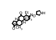 CC[C@H]1/C(=N/O[C@@H]2CCNC2)CC[C@@]2(C)C1C(=O)C[C@@H]1[C@@H]2CC[C@]2(C)C(=O)CC[C@@H]12